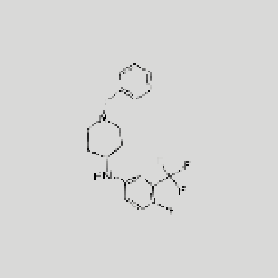 Fc1ccc(NC2CCN(Cc3ccccc3)CC2)cc1C(F)(F)F